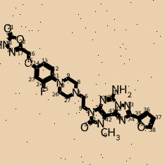 Cn1c(=O)n(CCN2CCN(c3ccc(OCc4n[nH]c(=O)o4)cc3F)CC2)c2nc(N)n3nc(-c4ccco4)nc3c21